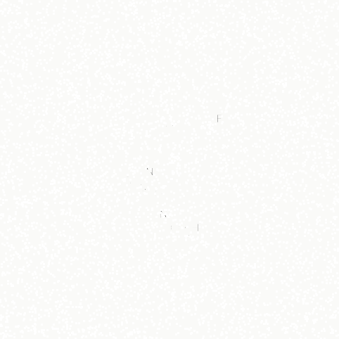 O=C(O)NC(CS(=O)(=O)N1CCC(OCc2c(F)cccc2F)CC1)c1ccccc1